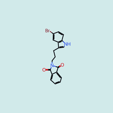 O=C1c2ccccc2C(=O)N1CCCc1c[nH]c2ccc(Br)cc12